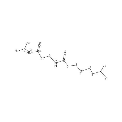 CC(C)CCOCCC(=O)NCCC(=O)NC(C)C